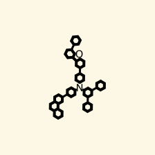 c1ccc(-c2cc(-c3ccccc3)cc(N(c3ccc(-c4ccc5ccc6ccccc6c5c4)cc3)c3ccc(-c4ccc5oc6c(-c7ccccc7)cccc6c5c4)cc3)c2)cc1